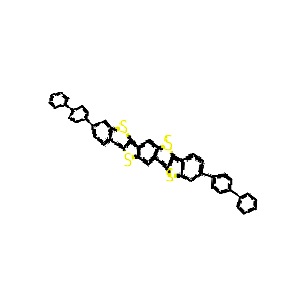 c1ccc(-c2ccc(-c3ccc4c(c3)sc3c5cc6sc7c8ccc(-c9ccc(-c%10ccccc%10)cc9)cc8sc7c6cc5sc43)cc2)cc1